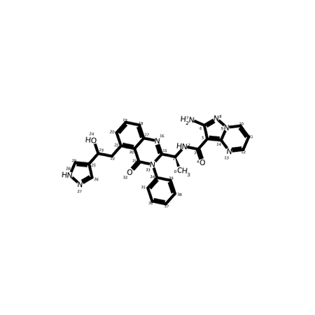 C[C@H](NC(=O)c1c(N)nn2cccnc12)c1nc2cccc(CC(O)c3cn[nH]c3)c2c(=O)n1-c1ccccc1